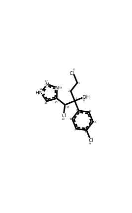 OC(CCCl)(c1ccc(Cl)cc1)C(Cl)c1c[nH]nn1